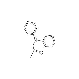 CC(=O)CN(c1ccccc1)c1ccccc1